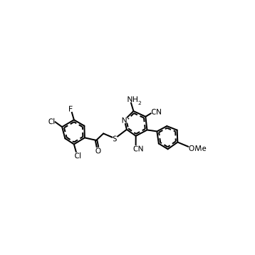 COc1ccc(-c2c(C#N)c(N)nc(SCC(=O)c3cc(F)c(Cl)cc3Cl)c2C#N)cc1